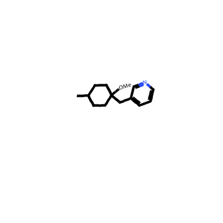 COC1(Cc2cccnc2)CCC(C)CC1